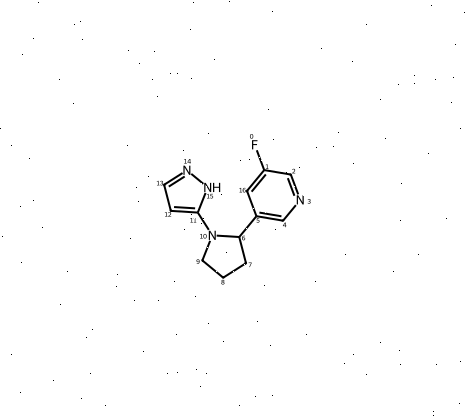 Fc1cncc(C2CCCN2c2ccn[nH]2)c1